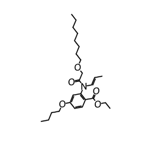 CC=CN(C(=O)COCCCCCCCC)c1cc(OCCCC)ccc1C(=O)OCC